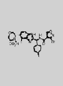 CCc1nocc1C(=O)NC(c1nc2c(F)c([C@H]3COCCN3C(=O)O)ccc2[nH]1)C1CCC(C)CC1